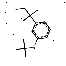 CCC(C)(C)c1cccc(SC(C)(C)C)c1